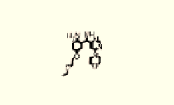 CCOCCOc1ccc(N)c(C(=N)c2cc(N3CCOCC3)ncn2)c1